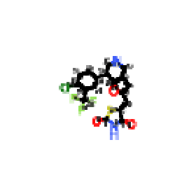 O=C1NC(=O)C(=Cc2cc3cncc(-c4ccc(Cl)c(C(F)(F)F)c4)c3o2)S1